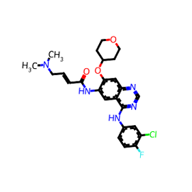 CN(C)CC=CC(=O)Nc1cc2c(Nc3ccc(F)c(Cl)c3)ncnc2cc1OC1CCOCC1